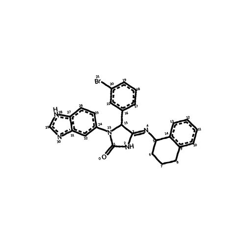 O=C1NC(=NC2CCCc3ccccc32)C(c2cccc(Br)c2)N1c1ccc2[nH]cnc2c1